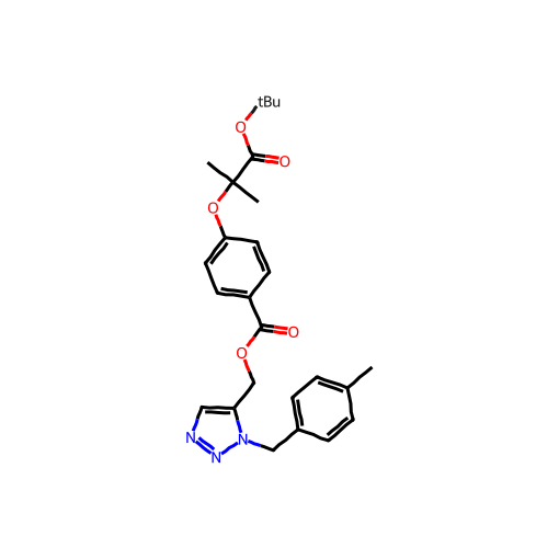 Cc1ccc(Cn2nncc2COC(=O)c2ccc(OC(C)(C)C(=O)OC(C)(C)C)cc2)cc1